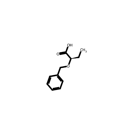 CC[C@@H](OCc1ccccc1)C(=O)O